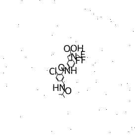 CC(C)C(=O)NCc1ccc(Cl)c(C(=O)Nc2ccc3c(c2)cc(C(=O)O)n3CC(F)(F)F)c1